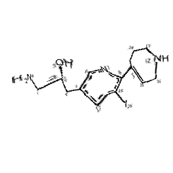 NC[C@@H](O)Cc1cnc(C2=CCNCC2)c(I)c1